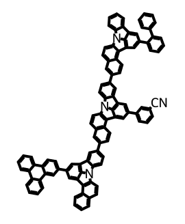 N#Cc1cccc(-c2cc3c4cc(-c5ccc6c(ccc7c6c6cc(-c8ccccc8-c8ccccc8)cc8c9ccccc9n7c86)c5)ccc4n4c5ccc6cc(-c7ccc8c(c7)c7cc(-c9ccc%10c%11ccccc%11c%11ccccc%11c%10c9)cc9c%10c%11ccccc%11ccc%10n8c79)ccc6c5c(c2)c34)c1